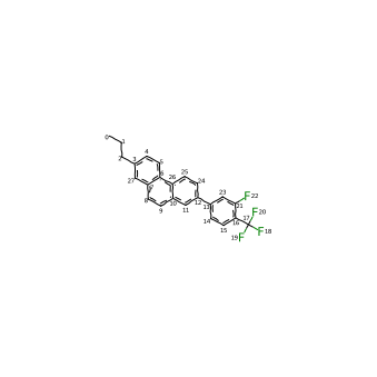 CCCc1ccc2c(ccc3cc(-c4ccc(C(F)(F)F)c(F)c4)ccc32)c1